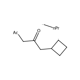 CC(=O)CC(=O)CC1[CH]CC1.[CH2]CCC